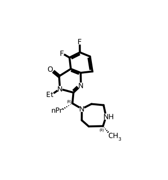 CCC[C@H](c1nc2ccc(F)c(F)c2c(=O)n1CC)N1CCN[C@H](C)CC1